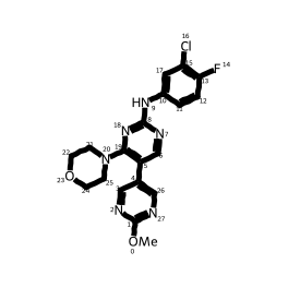 COc1ncc(-c2cnc(Nc3ccc(F)c(Cl)c3)nc2N2CCOCC2)cn1